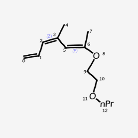 C=C/C=C(C)\C=C(/C)OCCOCCC